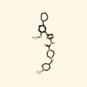 COc1ccc(C2CCCCC2)cc1-c1csc(NC(=O)N2CCN(CC3CCN(C)CC3)CC2)n1